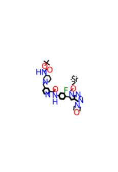 CC(C)(C)OC(=O)N[C@@H]1CCCN(Cc2ccnc(C(=O)Nc3ccc(-c4cc5c(N6CCOCC6)ncnc5n4COCC[Si](C)(C)C)c(F)c3)c2)C1